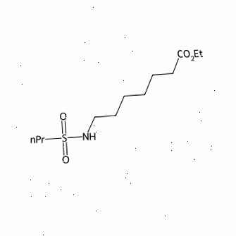 CCCS(=O)(=O)NCCCCCCC(=O)OCC